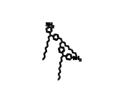 CCCCCCCCCC(c1ccc(N)cc1)c1ccc(CC(CCCCCCCC)Cc2ccc(C(CCCCCCCCC)c3ccc(N)cc3)cc2)cc1